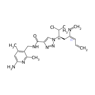 C=C/C=C(\C[C@H](C(C)Cl)n1cc(C(=O)NCc2c(C)cc(N)nc2C)nn1)N=C